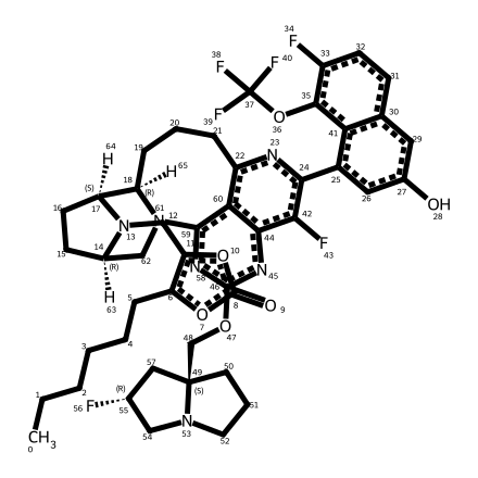 CCCCCCc1oc(=O)oc1CN1[C@@H]2CC[C@H]1[C@H]1CCCc3nc(-c4cc(O)cc5ccc(F)c(OC(F)(F)F)c45)c(F)c4nc(OC[C@@]56CCCN5C[C@H](F)C6)nc(c34)N1C2